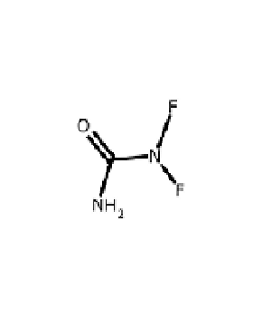 NC(=O)N(F)F